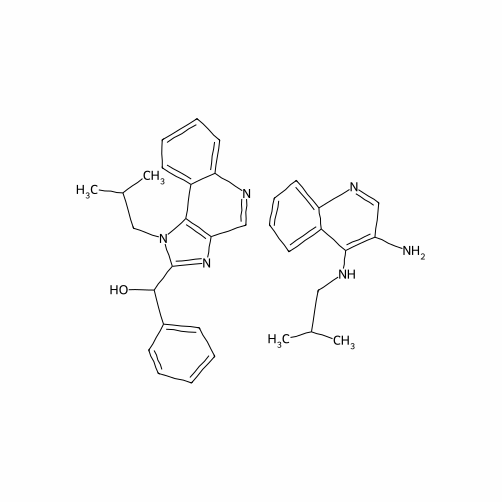 CC(C)CNc1c(N)cnc2ccccc12.CC(C)Cn1c(C(O)c2ccccc2)nc2cnc3ccccc3c21